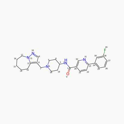 O=C(NC1CCN(Cc2cnn3c2CCCCC3)CC1)c1ccc(-c2cccc(F)c2)nc1